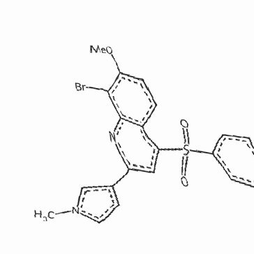 COc1ccc2c(S(=O)(=O)c3ccccc3)cc(-c3ccn(C)c3)nc2c1Br